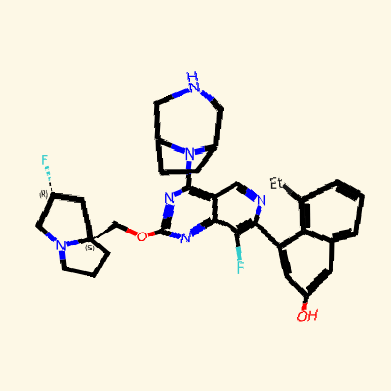 CCc1cccc2cc(O)cc(-c3ncc4c(N5C6CCC5CNC6)nc(OC[C@@]56CCCN5C[C@H](F)C6)nc4c3F)c12